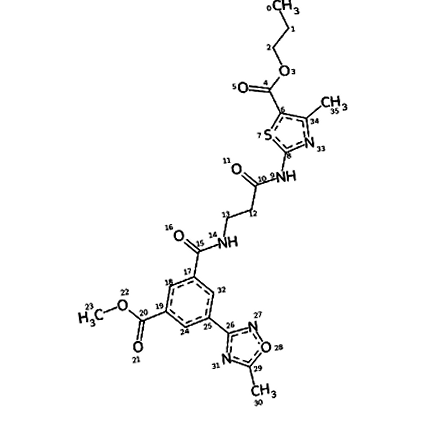 CCCOC(=O)c1sc(NC(=O)CCNC(=O)c2cc(C(=O)OC)cc(-c3noc(C)n3)c2)nc1C